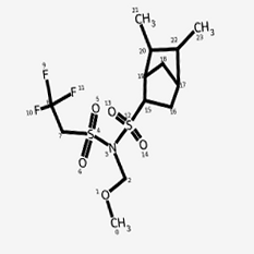 COCN(S(=O)(=O)CC(F)(F)F)S(=O)(=O)C1CC2CC1C(C)C2C